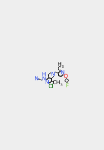 Cc1nc(O[C@H]2C[C@H](F)C2)ccc1CN1CCc2c(NCC#N)nc(Cl)c(C)c2C1